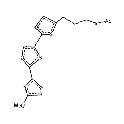 COc1ccc(-c2ccc(-c3ccc(CCCSC(C)=O)s3)s2)s1